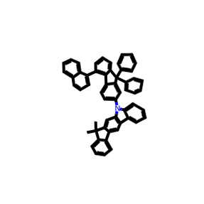 CC1(C)c2ccccc2-c2cc3c4ccccc4n(-c4ccc5c(c4)C(c4ccccc4)(c4ccccc4)c4cccc(-c6cccc7ccccc67)c4-5)c3cc21